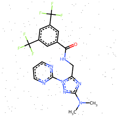 CN(C)c1nc(CNC(=O)c2cc(C(F)(F)F)cc(C(F)(F)F)c2)n(-c2ncccn2)n1